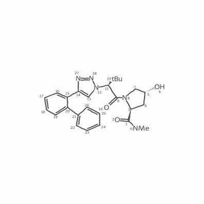 CNC(=O)[C@@H]1C[C@@H](O)CN1C(=O)[C@@H](n1cc(-c2ccccc2-c2ccccc2)nn1)C(C)(C)C